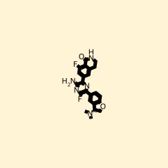 CN(C)[C@@H]1COc2ccc(-c3nc(-c4cc(F)c5c(c4)CCNC5=O)c(N)nc3F)cc21